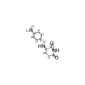 CN(C)c1ccc(CNC2CCC(=O)NC2=O)cc1